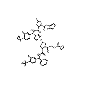 CC1(c2ccc(C(NC(=O)C3CC(F)CN3C(=O)COC(=O)N3CCC3)c3ccccc3)cc2F)CC1.CC1(c2ccc(C(NC(=O)C3CC(F)CN3C(=O)Cc3cnn[nH]3)c3cccnc3)cc2F)CC1